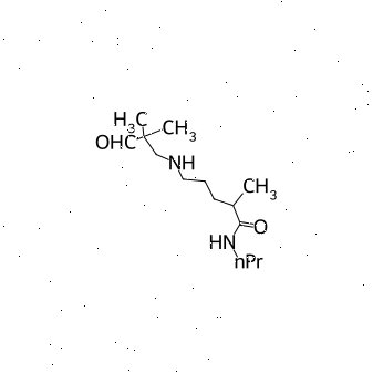 CCCNC(=O)C(C)CCCNCC(C)(C)C=O